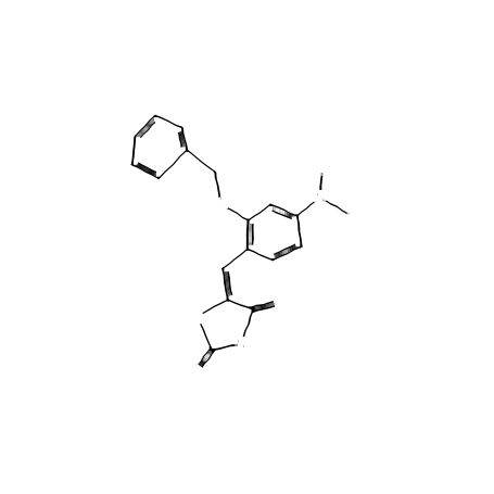 CCN(CC)c1ccc(/C=C2/SC(=S)NC2=O)c(OCc2ccccc2)c1